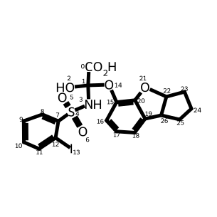 O=C(O)C(O)(NS(=O)(=O)c1ccccc1I)Oc1cccc2c1OC1CCCC21